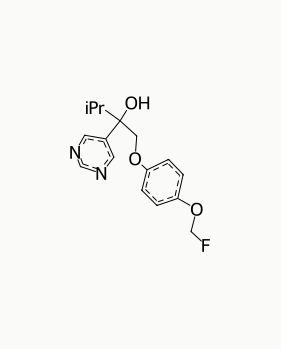 CC(C)C(O)(COc1ccc(OCF)cc1)c1cncnc1